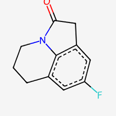 O=C1Cc2cc(F)cc3c2N1CCC3